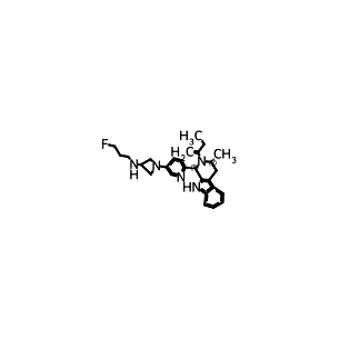 C=C(CC)N1[C@H](c2ccc(N3CC(NCCCF)C3)cn2)c2[nH]c3ccccc3c2C[C@H]1C